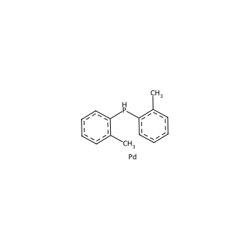 Cc1ccccc1Pc1ccccc1C.[Pd]